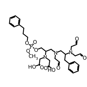 COP(=O)(OCCCc1ccccc1)OCC(CN(CC=O)CC(Cc1ccccc1)N(CC=O)CC=O)N(CC(=O)O)CC(=O)O